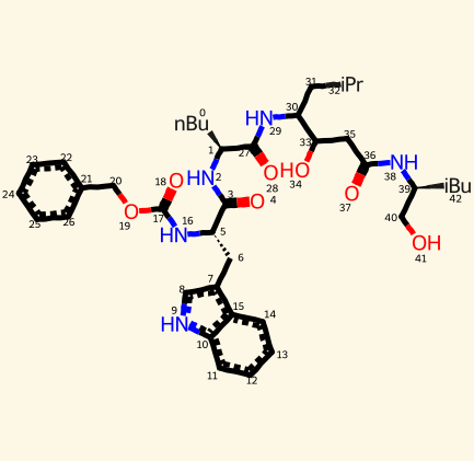 CCCC[C@H](NC(=O)[C@H](Cc1c[nH]c2ccccc12)NC(=O)OCc1ccccc1)C(=O)NC(CC(C)C)C(O)CC(=O)N[C@H](CO)C(C)CC